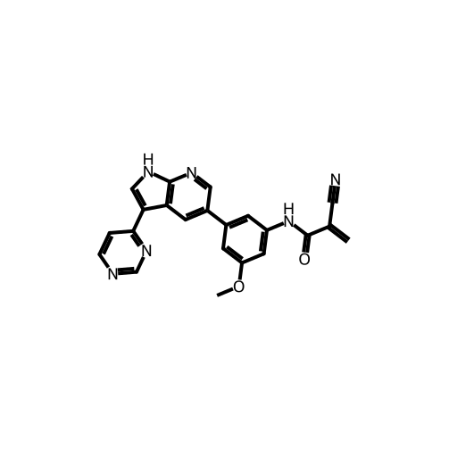 C=C(C#N)C(=O)Nc1cc(OC)cc(-c2cnc3[nH]cc(-c4ccncn4)c3c2)c1